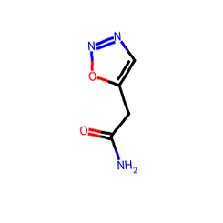 NC(=O)Cc1cnno1